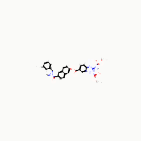 CC(=O)CN(Cc1cccc(C(C)=O)c1)C(=O)c1ccc2cc(OC(=O)c3ccc(N/C(=N\C(=O)OC(C)(C)C)NC(=O)OC(C)(C)C)cc3)ccc2c1